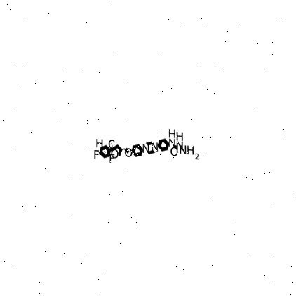 C[C@]1(c2ccc(F)cc2F)C[C@H](COc2ccc(N3CCN(c4ccc(NC(=O)NN)cc4)CC3)cc2)CO1